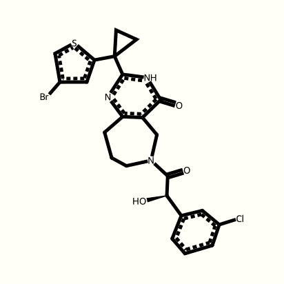 O=C([C@H](O)c1cccc(Cl)c1)N1CCCc2nc(C3(c4cc(Br)cs4)CC3)[nH]c(=O)c2C1